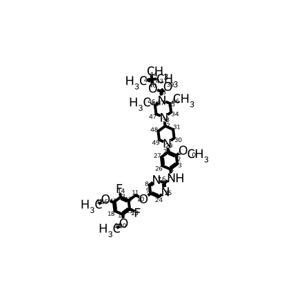 COc1cc(Nc2ncc(OCc3c(F)c(OC)cc(OC)c3F)cn2)ccc1N1CCC(N2C[C@@H](C)N(C(=O)OC(C)(C)C)[C@@H](C)C2)CC1